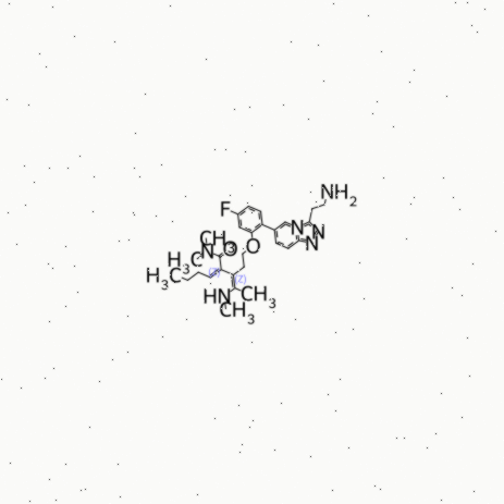 CCC/C=C(C(=O)N(C)C)/C(CCOc1cc(F)ccc1-c1ccc2nnc(CCN)n2c1)=C(/C)NC